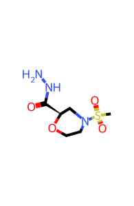 CS(=O)(=O)N1CCO[C@@H](C(=O)NN)C1